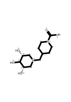 CCCC(=O)N1CCC(CN2C[C@@H](O)C(O)[C@@H](O)C2)CC1